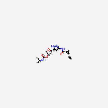 C#C[C@H]1C[C@@H]1C(=O)Nc1cc([C@H]2C[C@@H](OC(=O)NC(C)C)CO2)[nH]n1